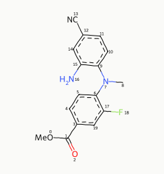 COC(=O)c1ccc(N(C)c2ccc(C#N)cc2N)c(F)c1